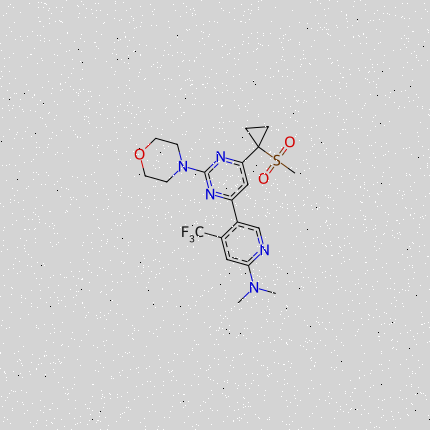 CN(C)c1cc(C(F)(F)F)c(-c2cc(C3(S(C)(=O)=O)CC3)nc(N3CCOCC3)n2)cn1